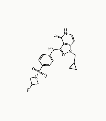 O=c1[nH]ccc2c1c(Nc1ccc(S(=O)(=O)N3CC(F)C3)cc1)nn2CC1CC1